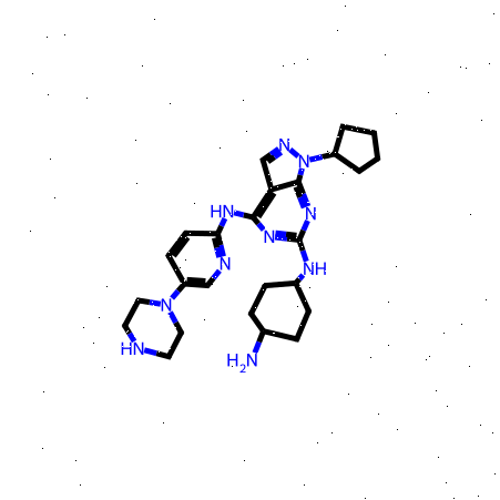 NC1CCC(Nc2nc(Nc3ccc(N4CCNCC4)cn3)c3cnn(C4CCCC4)c3n2)CC1